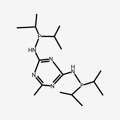 Cc1nc(NP(C(C)C)C(C)C)nc(NP(C(C)C)C(C)C)n1